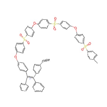 COc1ccc(/C(=C(/c2ccccc2)c2ccc(Oc3ccc(S(=O)(=O)c4ccc(Oc5ccc(S(=O)(=O)c6ccc(Oc7ccc(S(=O)(=O)c8ccc(C)cc8)cc7)cc6)cc5)cc4)cc3)cc2)c2ccccc2)cc1